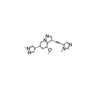 COc1cc(-c2cnn(C)c2)cn2ncc(C#Cc3cncn3C)c12